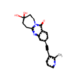 Cc1ncccc1C#Cc1ccc2c(=O)n3c(nc2c1)CCC(O)(O)CC3